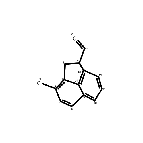 O=CC1Cc2c(Cl)ccc3cccc1c23